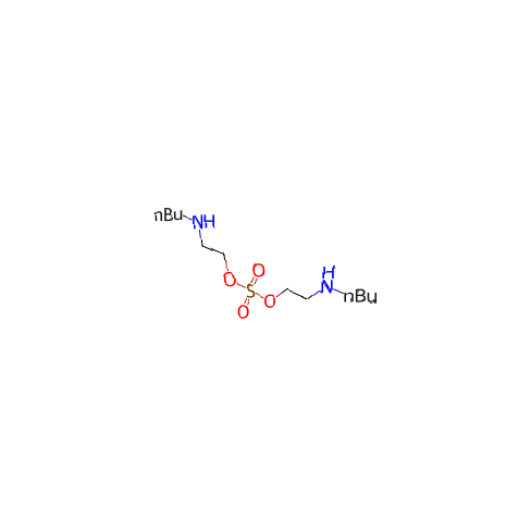 CCCCNCCOS(=O)(=O)OCCNCCCC